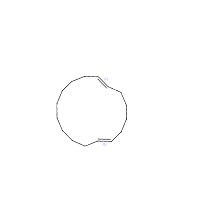 C1=C/CCCCCCCC/C=C/CCCC/1